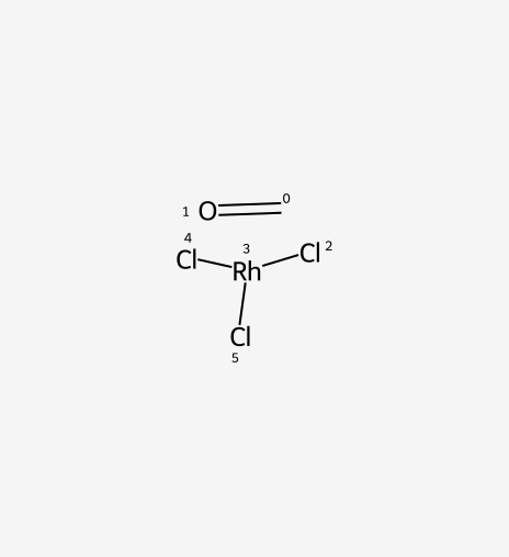 C=O.[Cl][Rh]([Cl])[Cl]